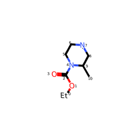 CCOC(=O)N1CC[N]CC1C